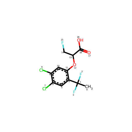 CC(F)(F)c1cc(Cl)c(Cl)cc1OC(CF)C(=O)O